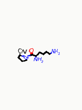 N#C[C@@H]1C=CCN1C(=O)C(N)CCCCN